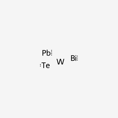 [Bi].[Pb].[Te].[W]